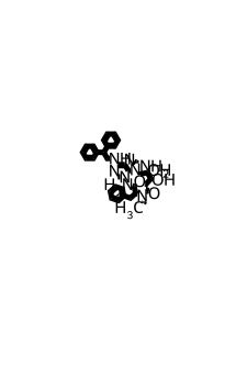 CCN(C(=O)[C@H]1O[C@@H](n2cnc3c(NCC(c4ccccc4)c4ccccc4)ncnc32)[C@](N)(O)[C@@H]1O)C(CN)Cc1ccccc1